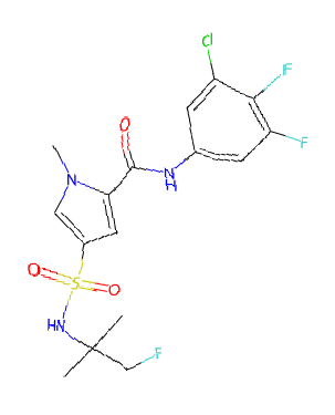 Cn1cc(S(=O)(=O)NC(C)(C)CF)cc1C(=O)Nc1cc(F)c(F)c(Cl)c1